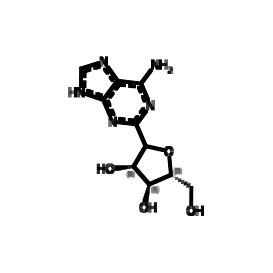 Nc1nc(C2O[C@H](CO)[C@@H](O)[C@H]2O)nc2[nH]cnc12